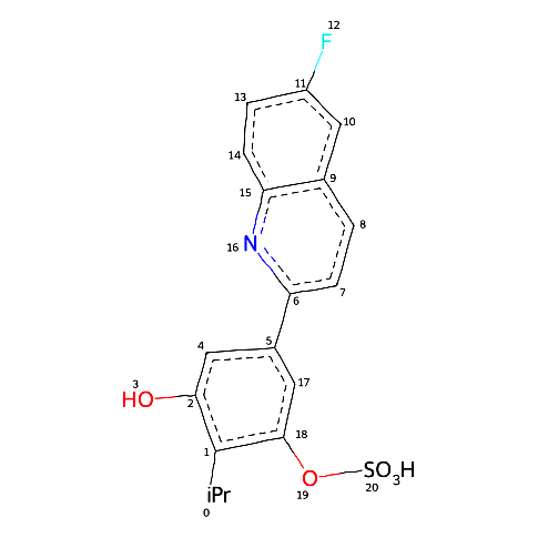 CC(C)c1c(O)cc(-c2ccc3cc(F)ccc3n2)cc1OS(=O)(=O)O